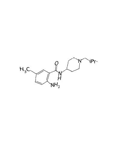 C[C](C)CN1CCC(NC(=O)c2cc(C)ccc2N)CC1